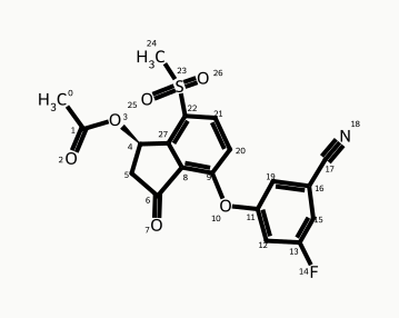 CC(=O)O[C@@H]1CC(=O)c2c(Oc3cc(F)cc(C#N)c3)ccc(S(C)(=O)=O)c21